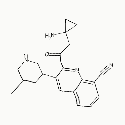 CC1CNCC(c2cc3cccc(C#N)c3nc2C(=O)CC2(N)CC2)C1